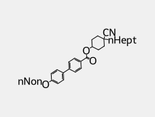 CCCCCCCCCOc1ccc(-c2ccc(C(=O)OC3CCC(C#N)(CCCCCCC)CC3)cc2)cc1